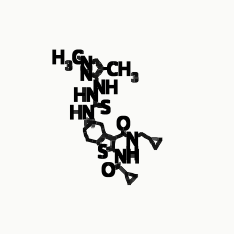 Cc1cn(C)nc1NNC(=S)N[C@H]1CCc2sc(NC(=O)C3CC3)c(C(=O)NCC3CC3)c2C1